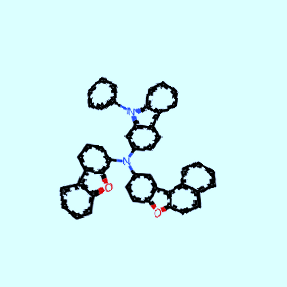 c1ccc(-n2c3ccccc3c3ccc(N(c4ccc5oc6ccc7ccccc7c6c5c4)c4cccc5c4oc4ccccc45)cc32)cc1